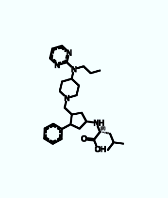 CCCN(c1ncccn1)C1CCN(CC2CC(N[C@H](CC(C)C)C(=O)O)CC2c2ccccc2)CC1